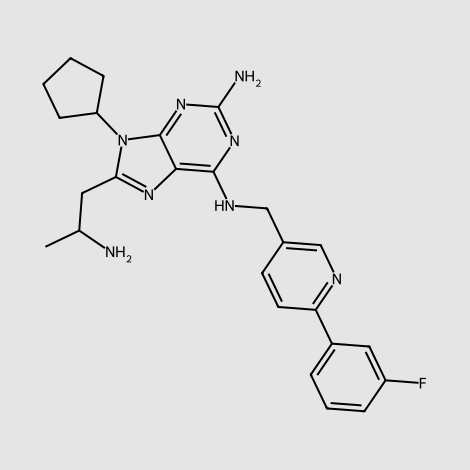 CC(N)Cc1nc2c(NCc3ccc(-c4cccc(F)c4)nc3)nc(N)nc2n1C1CCCC1